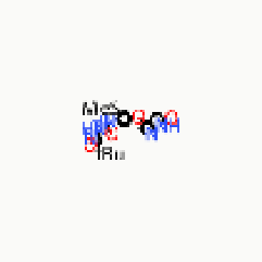 CSc1cc(Oc2ccnc3c2CCC(=O)N3)ccc1NC(=O)Nc1cc(C(C)(C)C)on1